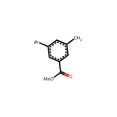 [CH2]c1cc(C(=O)OC)cc(C(C)C)c1